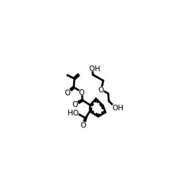 C=C(C)C(=O)OC(=O)c1ccccc1C(=O)O.OCCOCCO